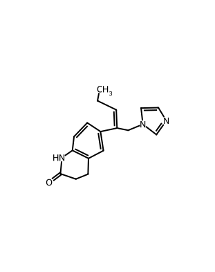 CC/C=C(/Cn1ccnc1)c1ccc2c(c1)CCC(=O)N2